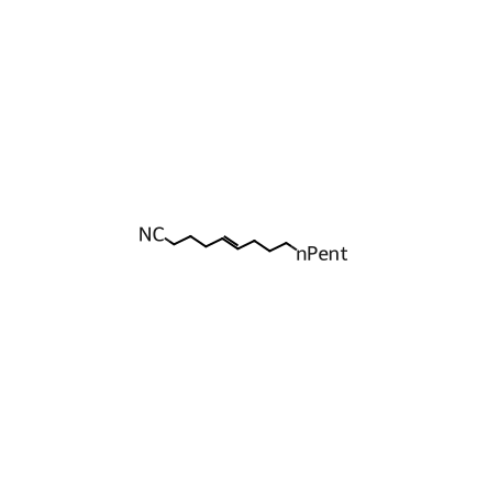 CCCCCCCC/C=C/CCCC#N